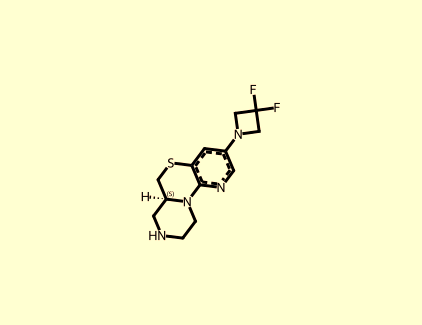 FC1(F)CN(c2cnc3c(c2)SC[C@@H]2CNCCN32)C1